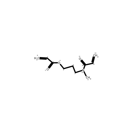 C=CC(=O)OCCCN(C)C(=O)C=C